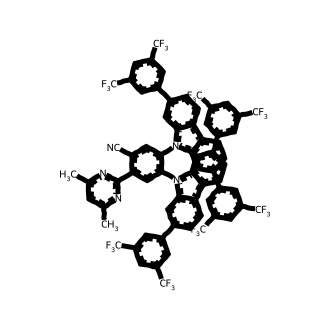 Cc1cc(C)nc(-c2cc(-n3c4cc(-c5cc(C(F)(F)F)cc(C(F)(F)F)c5)ccc4c4ccc(-c5cc(C(F)(F)F)cc(C(F)(F)F)c5)cc43)c(-n3c4cc(-c5cc(C(F)(F)F)cc(C(F)(F)F)c5)ccc4c4ccc(-c5cc(C(F)(F)F)cc(C(F)(F)F)c5)cc43)cc2C#N)n1